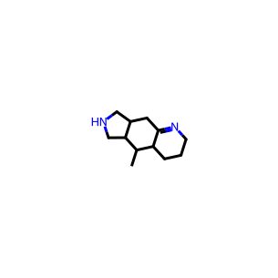 CC1C2CCCN=C2CC2CNCC21